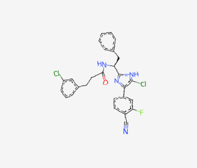 N#Cc1ccc(-c2nc([C@H](Cc3ccccc3)NC(=O)CCc3cccc(Cl)c3)[nH]c2Cl)cc1F